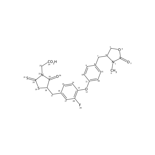 CN1C(=O)OCC1Cc1ccc(Oc2ccc(CC3SC(=S)N(CC(=O)O)C3=O)cc2F)cc1